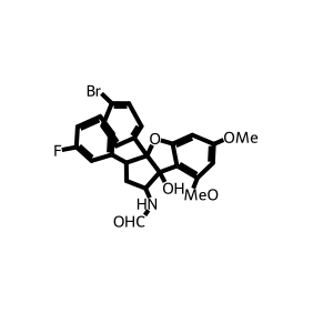 COc1cc(OC)c2c(c1)OC1(c3ccc(Br)cc3)C(c3cccc(F)c3)CC(NC=O)C21O